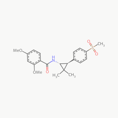 COc1ccc(C(=O)N[C@@H]2[C@@H](c3ccc(S(C)(=O)=O)cc3)C2(C)C)c(OC)c1